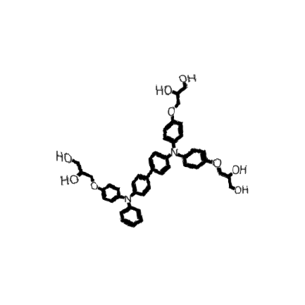 OCC(O)COc1ccc(N(c2ccccc2)c2ccc(-c3ccc(N(c4ccc(OCC(O)CO)cc4)c4ccc(OCC(O)CO)cc4)cc3)cc2)cc1